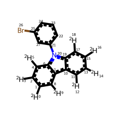 [2H]c1c([2H])c([2H])c2c(c1[2H])c1c([2H])c([2H])c([2H])c([2H])c1n2-c1cccc(Br)c1